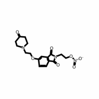 O=C1CCN(CCOc2ccc3c(c2)C(=O)N(CCO[N+](=O)[O-])C3=O)CC1